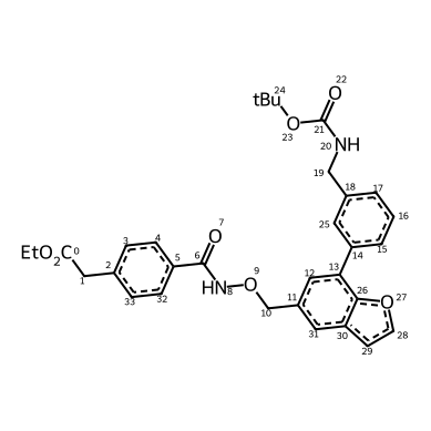 CCOC(=O)Cc1ccc(C(=O)NOCc2cc(-c3cccc(CNC(=O)OC(C)(C)C)c3)c3occc3c2)cc1